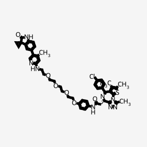 Cc1cc(NCCOCCOCCOCCOc2ccc(NC(=O)C[C@@H]3N=C(c4ccc(Cl)cc4)c4c(sc(C)c4C)-n4c(C)nnc43)cc2)ncc1-c1ccc2c(c1)C1(CC1)C(=O)N2